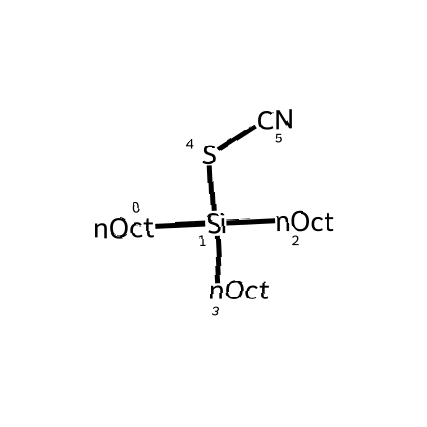 CCCCCCCC[Si](CCCCCCCC)(CCCCCCCC)SC#N